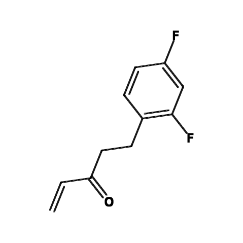 C=CC(=O)CCc1ccc(F)cc1F